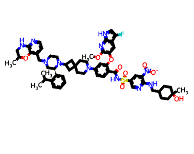 COc1nc2[nH]cc(F)c2cc1Oc1cc(N2CCC3(CC2)CC(N2CCN(Cc4ccnc5c4OC(C)CN5)C[C@H]2c2ccccc2C(C)C)C3)ccc1C(=O)NS(=O)(=O)c1cnc(NCC2CCC(C)(O)CC2)c([N+](=O)[O-])c1